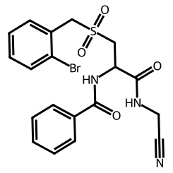 N#CCNC(=O)C(CS(=O)(=O)Cc1ccccc1Br)NC(=O)c1ccccc1